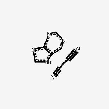 N#CC#N.c1ncc2[nH]cnc2n1